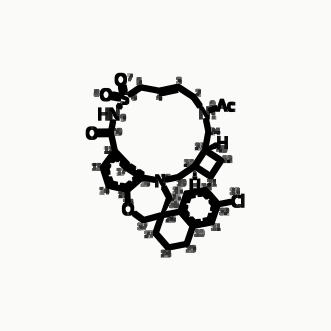 CC(=O)N1C/C=C/CS(=O)(=O)NC(=O)c2ccc3c(c2)N(C[C@@H]2CC[C@H]2C1)C[C@@]1(CCCc2cc(Cl)ccc21)CO3